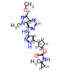 COCc1nn(C)c2c(Nc3cc([C@H]4CC[C@@H](OC(=O)NC5(C)CC5)C4)[nH]n3)ncnc12